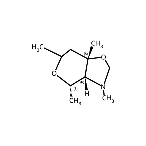 CC1C[C@]2(C)OCN(C)[C@@H]2[C@H](C)O1